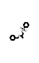 C=C(COS(=O)(=O)c1ccccc1)OCc1ccccc1